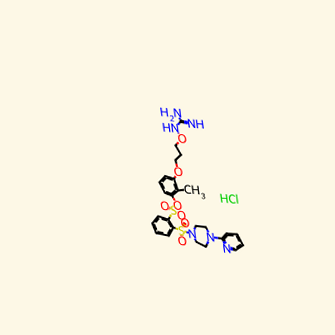 Cc1c(OCCCONC(=N)N)cccc1OS(=O)(=O)c1ccccc1S(=O)(=O)N1CCN(c2ccccn2)CC1.Cl